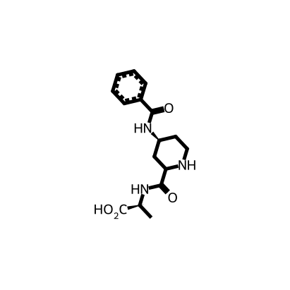 C[C@H](NC(=O)C1C[C@@H](NC(=O)c2ccccc2)CCN1)C(=O)O